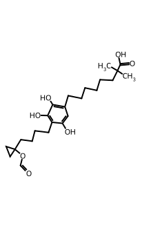 CC(C)(CCCCCCc1cc(O)c(CCCCC2(OC=O)CC2)c(O)c1O)C(=O)O